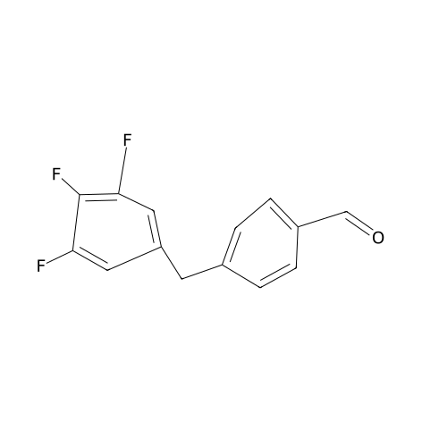 O=Cc1ccc(Cc2cc(F)c(F)c(F)c2)cc1